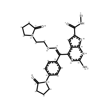 CCNC(=O)c1cc2c(C(=NOCCN3CCCC3=O)c3ccc(N4CCCC4=O)cc3)nc(N)nc2s1